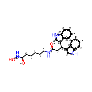 O=C(CCCCCNC(=O)CC(c1c[nH]c2ccccc12)c1c[nH]c2ccccc12)NO